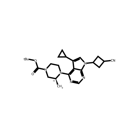 C[C@H]1CN(C(=O)OC(C)(C)C)CCN1c1ncnc2c1c(C1CC1)cn2C1CC(C#N)C1